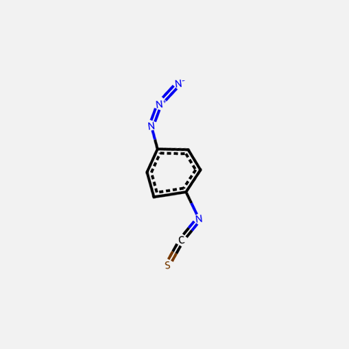 [N-]=[N+]=Nc1ccc(N=C=S)cc1